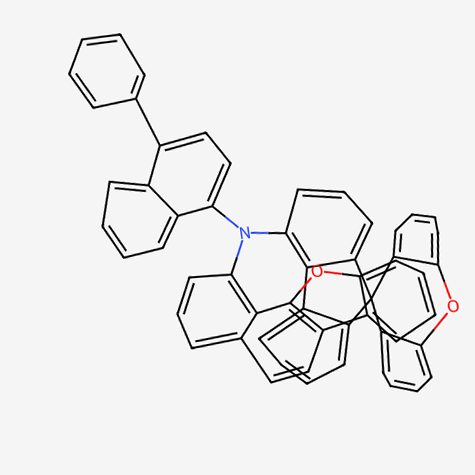 c1ccc(-c2ccc(N(c3cccc4c3-c3ccccc3C43c4ccccc4Oc4ccccc43)c3cccc4ccc5c6ccccc6oc5c34)c3ccccc23)cc1